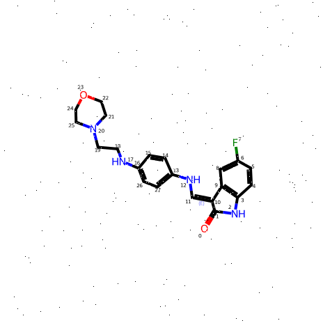 O=C1Nc2ccc(F)cc2/C1=C\Nc1ccc(NCCN2CCOCC2)cc1